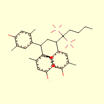 CCCCCCCCCCCCCC(C(CC(c1cc(C(C)(C)C)c(O)cc1C)c1cc(C(C)(C)C)c(O)cc1C)c1cc(C(C)(C)C)c(O)cc1C)([PH](O)(O)O)[PH](O)(O)O